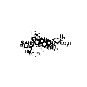 C=C(C)[C@@H]1CC[C@]2(NCC(CNC(=O)OCC)N3CCS(=O)(=O)CC3)CC[C@]3(C)[C@H](CC[C@@H]4[C@@]5(C)CC[C@H](OC(=O)CC(C)(C)C(=O)O)C(C)(C)[C@@H]5CC[C@]43C)[C@@H]12